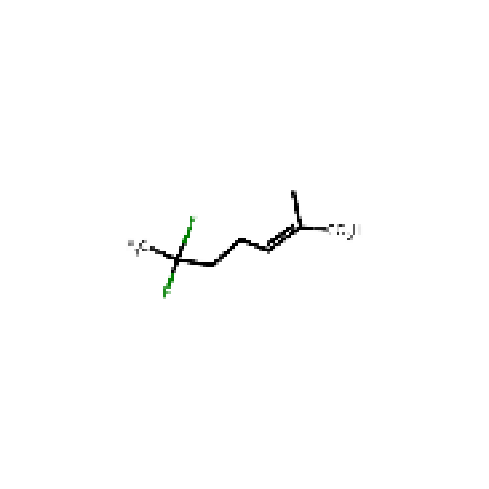 CC(=CCCC(F)(F)C(F)(F)F)C(=O)O